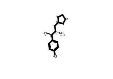 N[C@H](c1ccc(Cl)cc1)[C@@H](N)CC1CCCC1